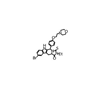 CCN1C(=O)C2Cc3c([nH]c4ccc(Br)cc34)C(c3ccc(OCCN4CCOCC4)cc3)N2C1=S